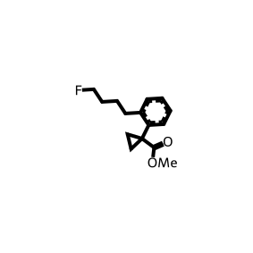 COC(=O)C1(c2ccccc2CCCCF)CC1